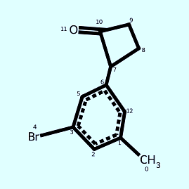 Cc1cc(Br)cc(C2CCC2=O)c1